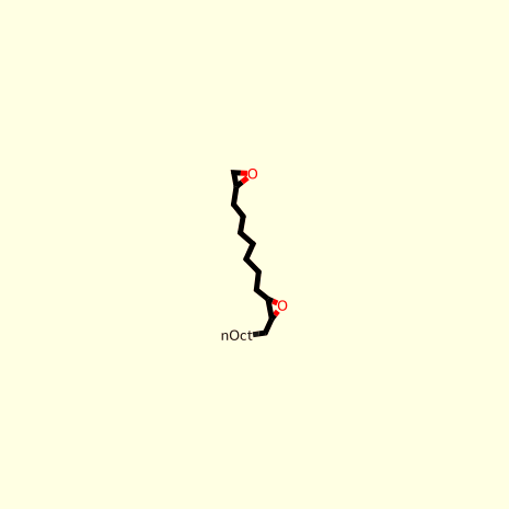 CCCCCCCCCC1OC1CCCCCCCC1CO1